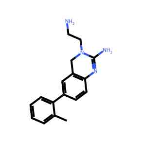 Cc1ccccc1-c1ccc2c(c1)CN(CCN)C(N)=N2